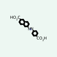 O=C(O)c1ccc(/N=N/c2ccc3cc(C(=O)O)ccc3c2)cc1